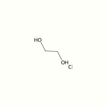 OCCO.[C]